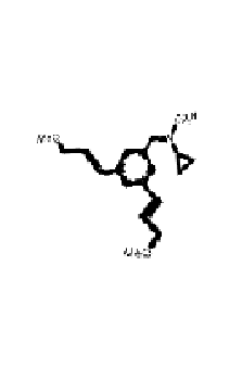 COCC=Cc1cc(C=CCOC)cc(CN(C(=O)O)C2CC2)c1